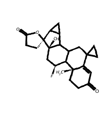 C[C@]12CCC(=O)C=C1C1(CC1)CC1C2[C@@H](F)C[C@@]2(C)C1C1CC1[C@@]21CCC(=O)O1